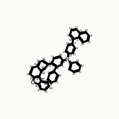 c1ccc(-c2cc(N(c3ccccc3)c3ccc(-c4cccc5ccccc45)cc3)ccc2-c2ccc3ccc4oc5ccccc5c4c3c2)cc1